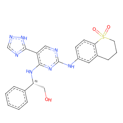 O=S1(=O)CCCc2cc(Nc3ncc(-c4ncn[nH]4)c(N[C@H](CO)c4ccccc4)n3)ccc21